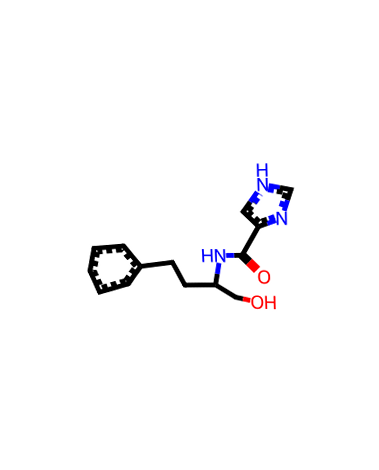 O=C(NC(CO)CCc1ccccc1)c1c[nH]cn1